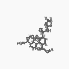 NC(=O)c1cccc(-c2c(B(O)O)ccc(C(=O)Nc3nccs3)c2C(=O)O)c1C(=O)O